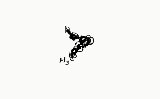 Cc1nc2ccc(S(=O)(=O)N3CCS(=O)(=O)c4ccc(-c5ccc(C#N)o5)cc43)cc2s1